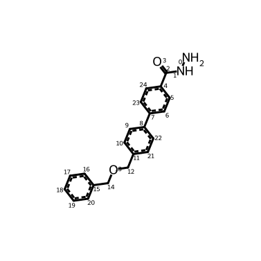 NNC(=O)c1ccc(-c2ccc(COCc3ccccc3)cc2)cc1